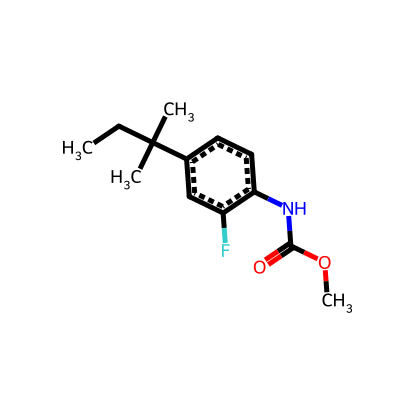 CCC(C)(C)c1ccc(NC(=O)OC)c(F)c1